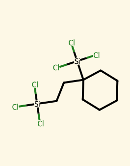 Cl[Si](Cl)(Cl)CCC1([Si](Cl)(Cl)Cl)CCCCC1